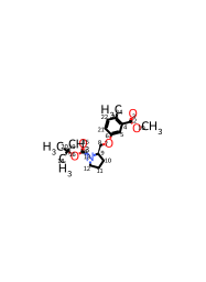 COC(=O)c1cc(OC[C@H]2CCCN2C(=O)OC(C)(C)C)ccc1C